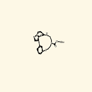 CC(C)(C)OC(=O)N1CCNc2ccn3ncc(c3n2)-c2cccc(c2)OCC1